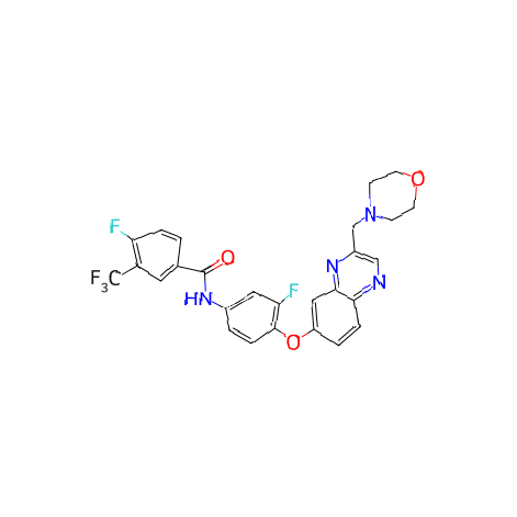 O=C(Nc1ccc(Oc2ccc3ncc(CN4CCOCC4)nc3c2)c(F)c1)c1ccc(F)c(C(F)(F)F)c1